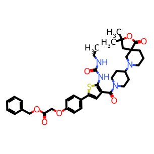 CCNC(=O)Nc1sc(-c2ccc(OCC(=O)OCc3ccccc3)cc2)cc1C(=O)N1CCC(N2CCCC3(C2)CC(C)(C)OC3=O)CC1